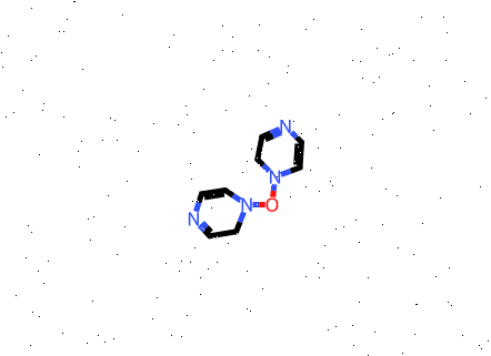 C1=CN(ON2C=CN=CC2)CC=N1